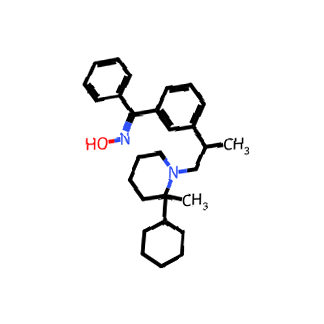 CC(CN1CCCCC1(C)C1CCCCC1)c1cccc(C(=NO)c2ccccc2)c1